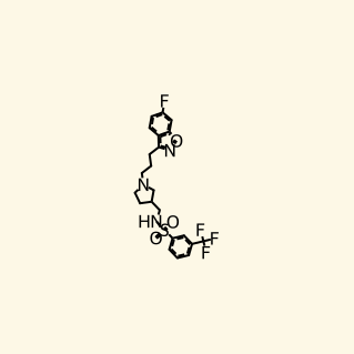 O=S(=O)(NCC1CCN(CCCc2noc3cc(F)ccc23)C1)c1cccc(C(F)(F)F)c1